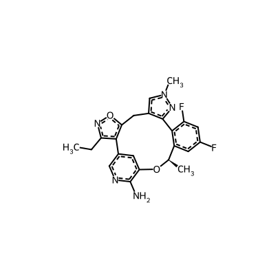 CCc1noc2c1-c1cnc(N)c(c1)O[C@H](C)c1cc(F)cc(F)c1-c1nn(C)cc1C2